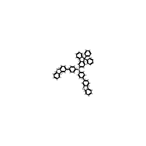 c1ccc(C2(c3ccccc3)c3ccccc3-c3cc(N(c4ccc(-c5ccc6c(c5)oc5ccccc56)cc4)c4ccc(-c5ccc6sc7ccccc7c6c5)cc4)ccc32)cc1